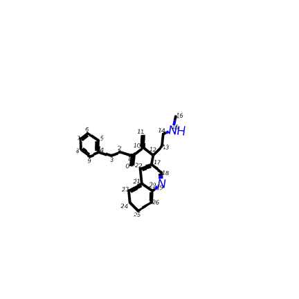 C=C(CCc1ccccc1)C(=C)C(CCNC)c1cnc2c(c1)=CCCC=2